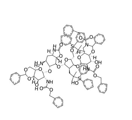 CC(C)(C[C@H]1[C@H](O[C@@H]2[C@H]3OC(=O)N[C@@H]3C[C@H](N)[C@H]2O[C@H]2O[C@@H]3COC(c4ccccc4)O[C@H]3[C@H](O)[C@H]2NC(=O)OCc2ccccc2)O[C@H](CO[Si](c2ccccc2)(c2ccccc2)C(C)(C)C)[C@H]1O[C@H]1O[C@H]2CN(C(=O)OCc3ccccc3)C(c3ccccc3)O[C@H]2[C@H](O)[C@H]1NC(=O)OCc1ccccc1)[Si](O)(c1ccccc1)c1ccccc1